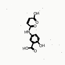 O=C(O)/C=C\C(=O)Nc1ccc(O)c(C(=O)O)c1